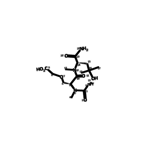 CCCC(=O)N(C)[C@H](COCC(=O)O)C(=O)N(C)[C@@H](CC(C)(C)O)C(N)=O